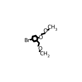 C=COCCc1cc(Br)ccc1OCCOCC